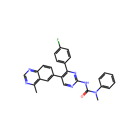 Cc1ncnc2ccc(-c3cnc(NC(=O)N(C)c4ccccc4)nc3-c3ccc(F)cc3)cc12